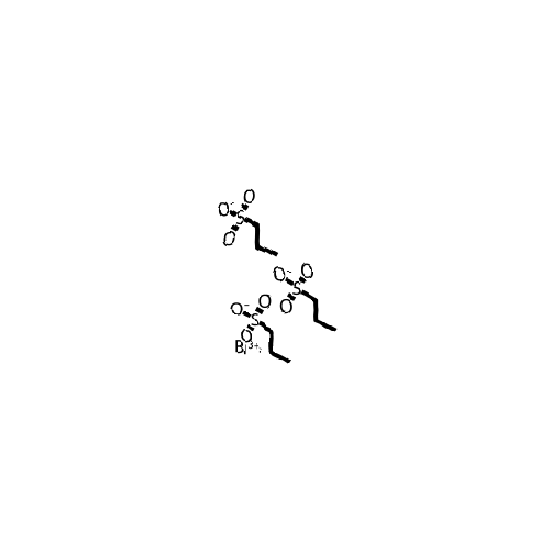 CCCS(=O)(=O)[O-].CCCS(=O)(=O)[O-].CCCS(=O)(=O)[O-].[Bi+3]